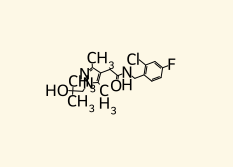 Cc1nn(CC(C)(C)O)c(C)c1CC(=O)NCc1ccc(F)cc1Cl